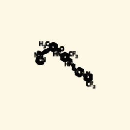 Cc1ccc(C(=O)Nc2ccc(CNCCN3CCN(c4cc(C(F)(F)F)ccn4)CC3)c(C(F)(F)F)c2)cc1C#Cc1cnc2cccnn12